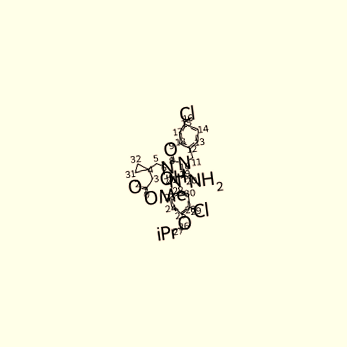 COC(=O)CC1(CN(O)C(=O)N(Cc2ccc(Cl)cc2)/C(N)=N/c2ccc(OC(C)C)c(Cl)c2)CC1